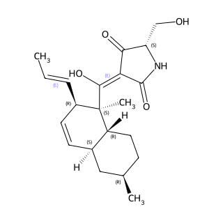 C/C=C/[C@@H]1C=C[C@@H]2C[C@H](C)CC[C@H]2[C@]1(C)/C(O)=C1\C(=O)N[C@@H](CO)C1=O